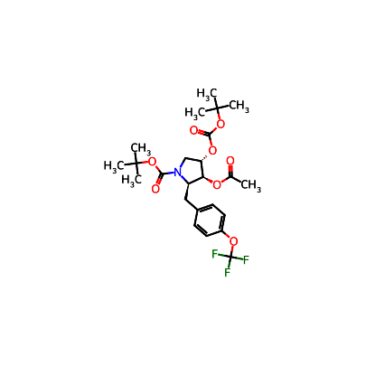 CC(=O)O[C@@H]1[C@@H](OC(=O)OC(C)(C)C)CN(C(=O)OC(C)(C)C)[C@@H]1Cc1ccc(OC(F)(F)F)cc1